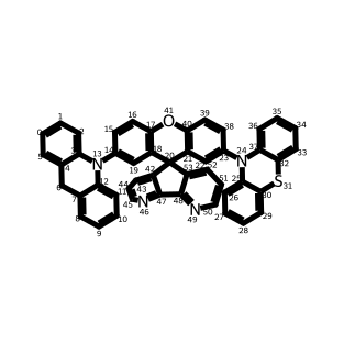 c1ccc2c(c1)Cc1ccccc1N2c1ccc2c(c1)C1(c3cc(N4c5ccccc5Sc5ccccc54)ccc3O2)c2cccnc2-c2ncccc21